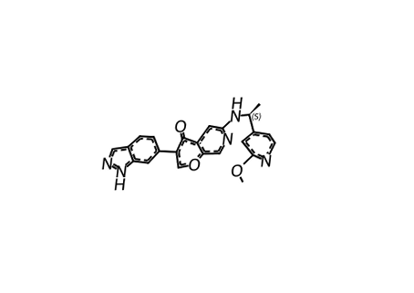 COc1cc([C@H](C)Nc2cc3c(=O)c(-c4ccc5cn[nH]c5c4)coc3cn2)ccn1